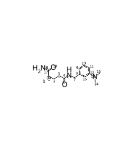 C[C@@H](C[CH]C(=O)NCc1cccc(N(C)C)c1)C(N)=O